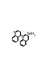 [SeH2].c1ccc2ncccc2c1.c1ccc2ncccc2c1